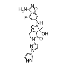 CC(O)(C(=O)Nc1cc(F)c2c(N)noc2c1)C1OCCN(c2ccn(-c3ccnnc3)n2)C1=O